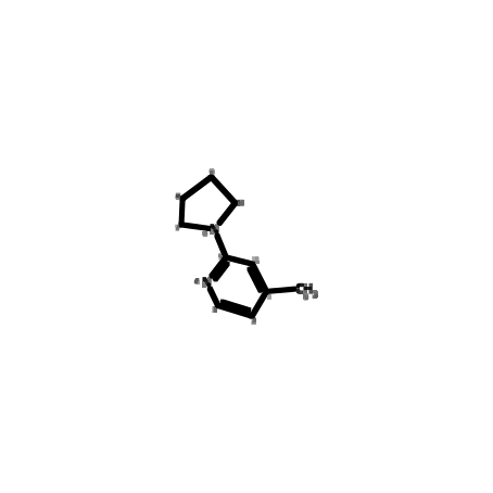 Cc1ccnc(N2CCCC2)c1